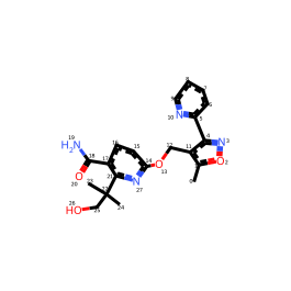 Cc1onc(-c2ccccn2)c1COc1ccc(C(N)=O)c(C(C)(C)CO)n1